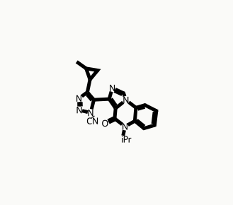 CC1CC1c1nnn(C#N)c1-c1ncn2c1c(=O)n(C(C)C)c1ccccc12